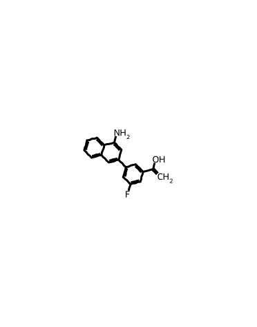 C=C(O)c1cc(F)cc(-c2cc(N)c3ccccc3c2)c1